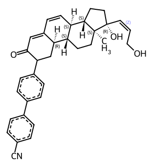 C[C@]12CC[C@H]3[C@@H](C=CC4=CC(=O)C(c5ccc(-c6ccc(C#N)cc6)cc5)C[C@@H]43)[C@@H]1CC[C@@]2(O)/C=C\CO